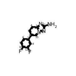 Nc1nc2ccc(-c3ccc(F)c(F)c3)cn2n1